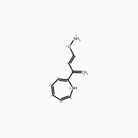 C=C(C=CO[SiH3])C1=CC=CC=CN1